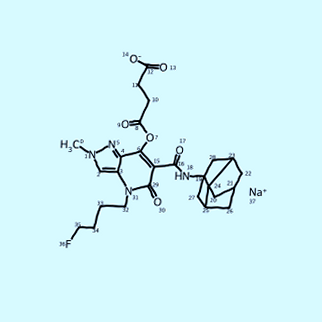 Cn1cc2c(n1)c(OC(=O)CCC(=O)[O-])c(C(=O)NC13CC4CC(CC(C4)C1)C3)c(=O)n2CCCCF.[Na+]